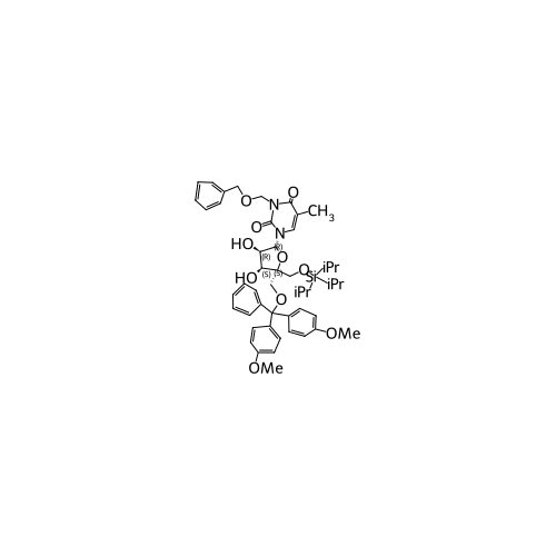 COc1ccc(C(OC[C@@]2(CO[Si](C(C)C)(C(C)C)C(C)C)O[C@@H](n3cc(C)c(=O)n(COCc4ccccc4)c3=O)[C@H](O)[C@@H]2O)(c2ccccc2)c2ccc(OC)cc2)cc1